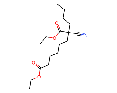 CCCCC(C#N)(CCCCCC(=O)OCC)C(=O)OCC